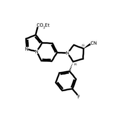 CCOC(=O)c1cnn2ccc(N3C[C@@H](C#N)C[C@@H]3c3cccc(F)c3)cc12